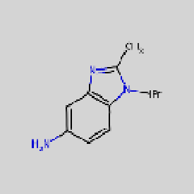 Cc1nc2cc(N)ccc2n1C(C)C